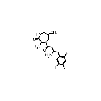 CC1CNC(=O)C(C)N(C(=O)CC(N)Cc2cc(F)c(F)cc2F)C1